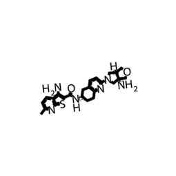 Cc1ccc2c(N)c(C(=O)N[C@H]3CCc4nc(N5C[C@H]6COC[C@@]6(N)C5)ccc4C3)sc2n1